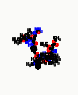 CCOC(=O)CC[C@@H](NC(=O)/C(C)=C/[C@H](C(C)C)N(C)C(=O)[C@@H](NC(=O)[C@@H](N(C)C(=O)OCc1ccc(NC(=O)[C@H](CCCNC(N)=O)NC(=O)C(NC(=O)OC(C)(C)C)C(C)C)cc1)C(C)(C)c1cn(C)c2ccccc12)C(C)(C)C)C(=O)OCC